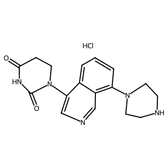 Cl.O=C1CCN(c2cncc3c(N4CCNCC4)cccc23)C(=O)N1